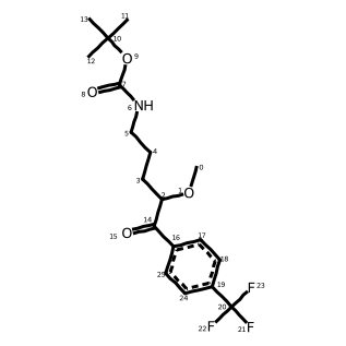 COC(CCCNC(=O)OC(C)(C)C)C(=O)c1ccc(C(F)(F)F)cc1